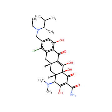 CCN(Cc1cc(O)c2c(c1Cl)C[C@H]1C[C@H]3[C@H](N(C)C)C(O)=C(C(N)=O)C(=O)[C@@]3(O)C(O)=C1C2=O)[C@@H](C)C(C)C